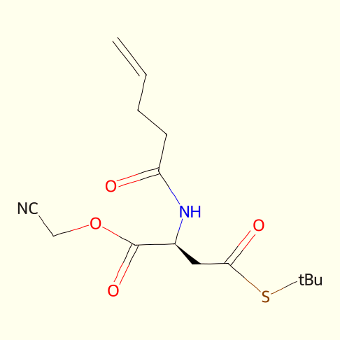 C=CCCC(=O)N[C@@H](CC(=O)SC(C)(C)C)C(=O)OCC#N